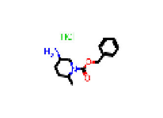 CC1CCC(N)CN1C(=O)OCc1ccccc1.Cl